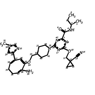 CC[C@@H](C)NC(=O)c1nc(OCC2(C#N)CC2)nc(N2CCC(COC3=C/C(c4cn(C)cn4)=C\CC/C=C\3N)CC2)n1